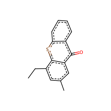 CCc1cc(C)cc2c(=O)c3ccccc3sc12